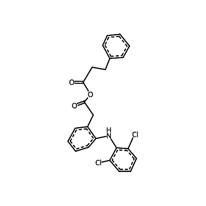 O=C(CCc1ccccc1)OC(=O)Cc1ccccc1Nc1c(Cl)cccc1Cl